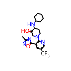 Cc1noc(-c2cc(C(F)(F)F)cnc2N2CCC(NC3CCCCC3)[C@H](O)C2)n1